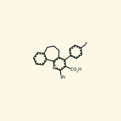 CC(C)c1nc2c(c(-c3ccc(F)cc3)c1C(=O)O)CCCc1ccccc1-2